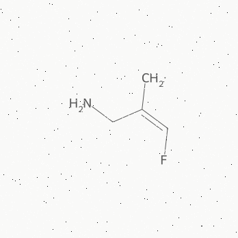 [CH2]/C(=C/F)CN